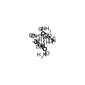 CCc1nc(C)oc1C(=O)Nc1nc2cc(C(N)=O)cc(OCCN3CCOCC3)c2n1C/C=C/Cn1c(NC(=O)c2cc(C)nn2CC)nc2cc(C(N)=O)ccc21